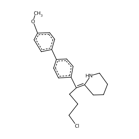 COc1ccc(-c2ccc(C(CCCCl)=C3CCCCN3)cc2)cc1